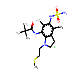 CSCCN1CCc2c(C)c(NS(N)(=O)=O)c(C)c(NC(=O)C(C)(C)C)c21.Cl